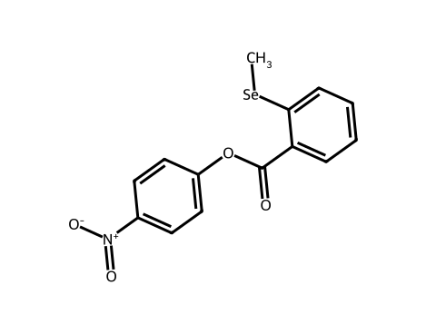 C[Se]c1ccccc1C(=O)Oc1ccc([N+](=O)[O-])cc1